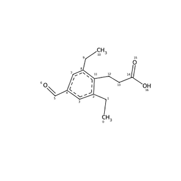 CCc1cc(C=O)cc(CC)c1CCC(=O)O